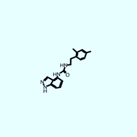 Cc1ccc(CCNC(=O)Nc2cccc3[nH]ncc23)c(C)c1